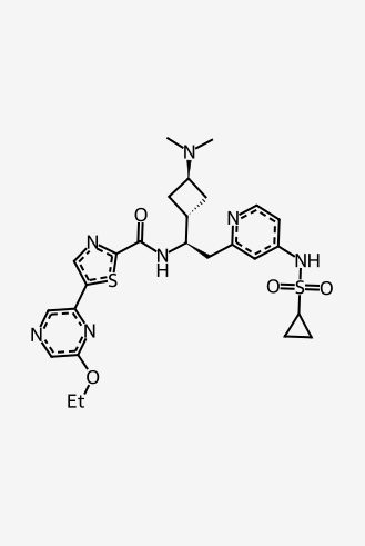 CCOc1cncc(-c2cnc(C(=O)N[C@H](Cc3cc(NS(=O)(=O)C4CC4)ccn3)[C@H]3C[C@H](N(C)C)C3)s2)n1